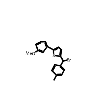 COc1cccc(-c2ccc(C(Br)c3ccc(C)cc3)s2)c1